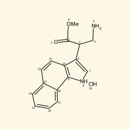 COC(=O)C(CN)c1c[nH]c2c1ccc1ccccc12.Cl